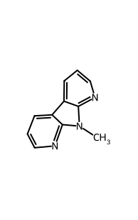 Cn1c2ncccc2c2cccnc21